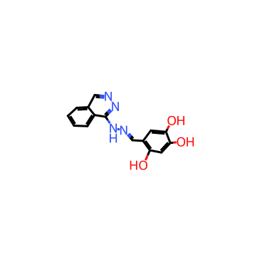 Oc1cc(O)c(C=NNc2nncc3ccccc23)cc1O